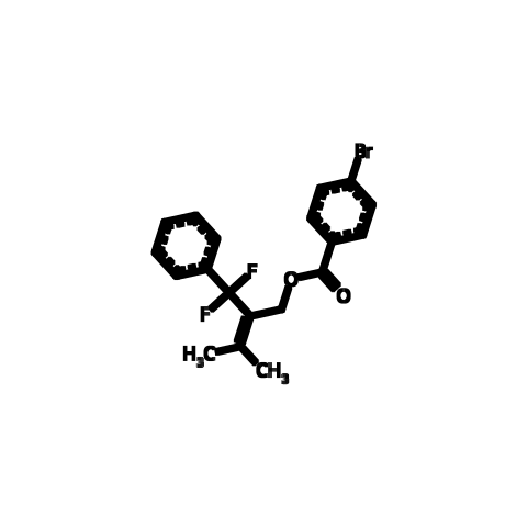 CC(C)=C(COC(=O)c1ccc(Br)cc1)C(F)(F)c1ccccc1